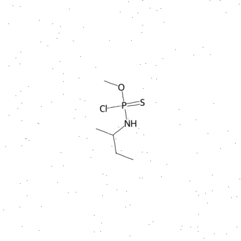 CCC(C)NP(=S)(Cl)OC